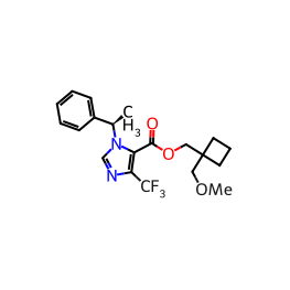 COCC1(COC(=O)c2c(C(F)(F)F)ncn2[C@H](C)c2ccccc2)CCC1